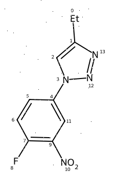 CCc1cn(-c2ccc(F)c([N+](=O)[O-])c2)nn1